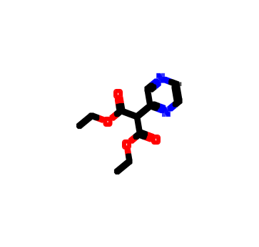 CCOC(=O)C(C(=O)OCC)c1cn[c]cn1